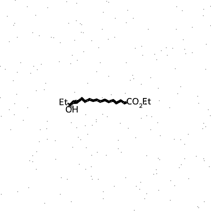 CCOC(=O)CCCCCCCCCCCCC#C[C@@H](O)CC